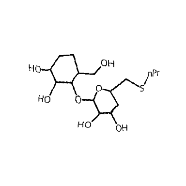 CCCSCC1CC(O)C(O)C(OC2C(CO)CCC(O)C2O)O1